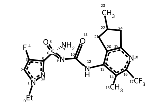 CCn1cc(F)c([S@@](N)(=O)=NC(=O)Nc2c(C)c(C(F)(F)F)nc3c2CC(C)C3)n1